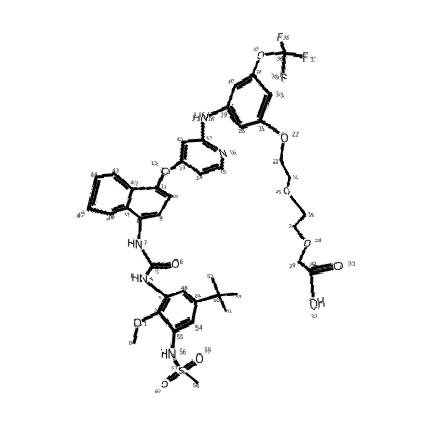 COc1c(NC(=O)Nc2ccc(Oc3ccnc(Nc4cc(OCCOCCOCC(=O)O)cc(OC(F)(F)F)c4)c3)c3ccccc23)cc(C(C)(C)C)cc1NS(C)(=O)=O